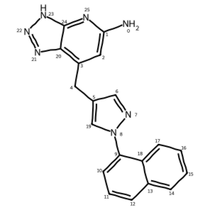 Nc1cc(Cc2cnn(-c3cccc4ccccc34)c2)c2nn[nH]c2n1